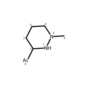 CC(=O)C1CCCN(C)N1